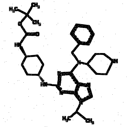 CC(C)n1cnc2c(N(Cc3ccccc3)C3CCNCC3)nc(N[C@H]3CC[C@H](NC(=O)OC(C)(C)C)CC3)nc21